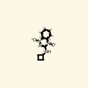 [O-][n+]1nc(NC2CCC2)[n+]([O-])c2ccccc21